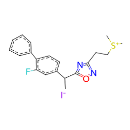 CC(c1ccc(-c2ccccc2)c(F)c1)c1nc(CC[S+](C)C)no1.[I-]